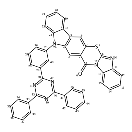 O=c1c2cc3c(cc2sc2nc4ccccc4n12)c1ccccc1n3-c1cccc(-c2nc(-c3ccccc3)nc(-c3ccccc3)n2)c1